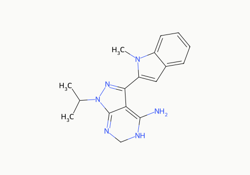 CC(C)n1nc(-c2cc3ccccc3n2C)c2c1=NCNC=2N